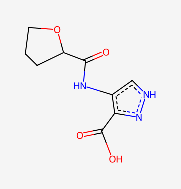 O=C(O)c1n[nH]cc1NC(=O)C1CCCO1